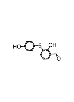 O=Cc1cccc(Sc2ccc(O)cc2)c1O